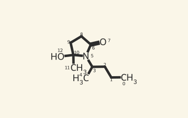 CCCC(C)N1C(=O)CCC1(C)O